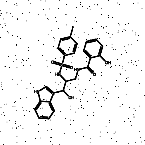 O=C(NCC(NS(=O)(=O)c1ccc(F)cc1)C(O)c1c[nH]c2ccccc12)c1ccccc1O